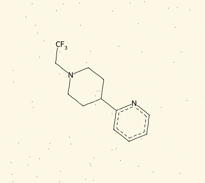 FC(F)(F)CN1CCC(c2ccccn2)CC1